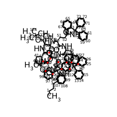 CCCCCCN[C@@H](CSC(c1ccccc1)(c1ccccc1)c1ccccc1)C(=O)N1CCC[C@H]1C(=O)N1CCC[C@H]1C(=O)N[C@H](C(=O)N[C@@H](CCC(=O)NC(c1ccccc1)(c1ccccc1)c1ccccc1)C(=O)N[C@@H](Cc1ccccc1)C(=O)N[C@@H](CSC(c1ccccc1)(c1ccccc1)c1ccccc1)C(=O)CNC(C)=O)[C@@H](C)OC(C)(C)C